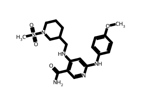 COc1ccc(Nc2cc(NCC3CCCN(S(C)(=O)=O)C3)c(C(N)=O)cn2)cc1